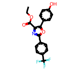 CCOC(=O)c1nc(-c2ccc(C(F)(F)F)cc2)oc1-c1ccc(O)cc1